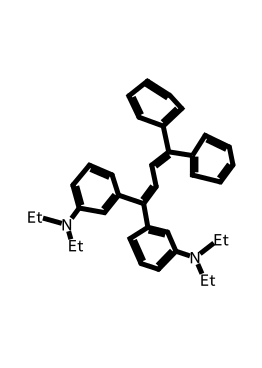 CCN(CC)c1cccc(C(=CC=C(c2ccccc2)c2ccccc2)c2cccc(N(CC)CC)c2)c1